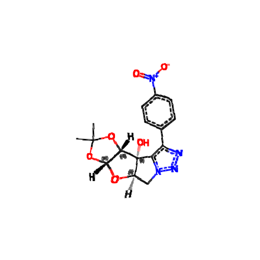 CC1(C)O[C@H]2O[C@@H]3Cn4nnc(-c5ccc([N+](=O)[O-])cc5)c4[C@]3(O)[C@H]2O1